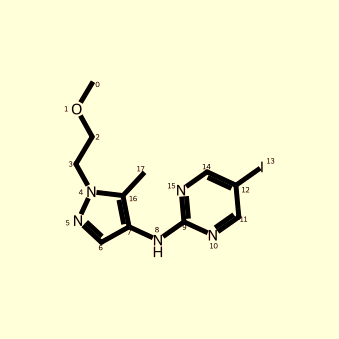 COCCn1ncc(Nc2ncc(I)cn2)c1C